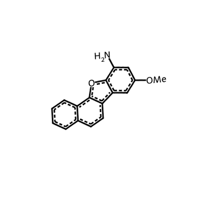 COc1cc(N)c2oc3c4ccccc4ccc3c2c1